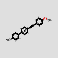 CCCCOc1ccc(C#CC23CCC(c4ccc(CCCC)cc4)(CC2)CC3)cc1